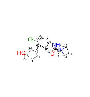 C[C@@]1(O)CC[C@H](c2cc(NC(=O)N3C4CC3CC(C(F)(F)F)C4)ccc2Cl)C1